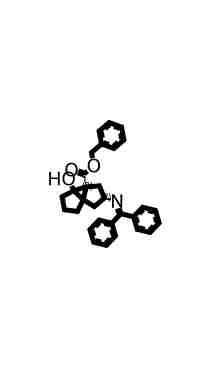 O=C(OCc1ccccc1)[C@]12C[C@H](N=C(c3ccccc3)c3ccccc3)CC13CCCC32O